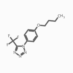 CCCCOc1ccc(-n2nnnc2C(F)(F)F)cc1